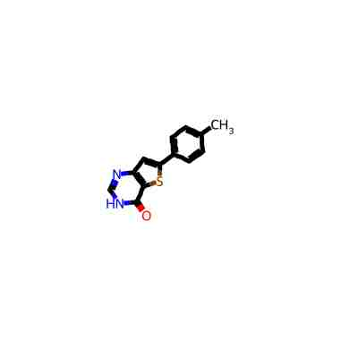 Cc1ccc(-c2cc3nc[nH]c(=O)c3s2)cc1